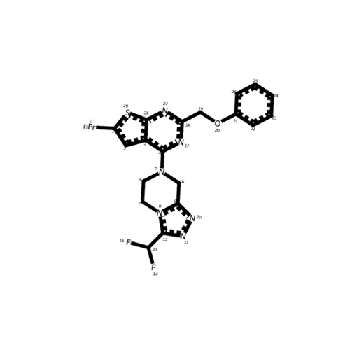 CCCc1cc2c(N3CCn4c(nnc4C(F)F)C3)nc(COc3ccccc3)nc2s1